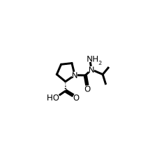 CC(C)N(N)C(=O)N1CCC[C@H]1C(=O)O